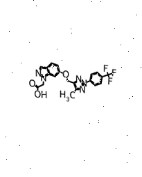 Cc1nn(-c2ccc(C(F)(F)F)cc2)nc1COc1ccc2cnn(CC(=O)O)c2c1